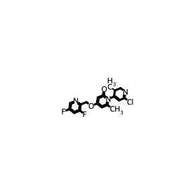 Cc1cc(OCc2ncc(F)cc2F)cc(=O)n1C1=CC(Cl)=NC[C@@H]1C